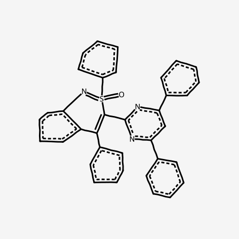 O=S1(c2ccccc2)=Nc2ccccc2C(c2ccccc2)=C1c1nc(-c2ccccc2)cc(-c2ccccc2)n1